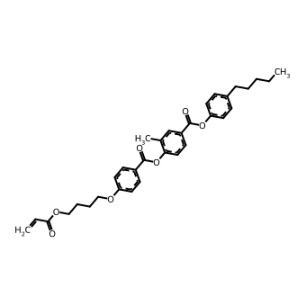 C=CC(=O)OCCCCOc1ccc(C(=O)Oc2ccc(C(=O)Oc3ccc(CCCCC)cc3)cc2C)cc1